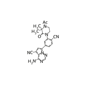 CC(=O)N1CCN(c2cc(-c3cc(C#N)c4c(N)ncnn34)ccc2C#N)C(=O)C1(C)C